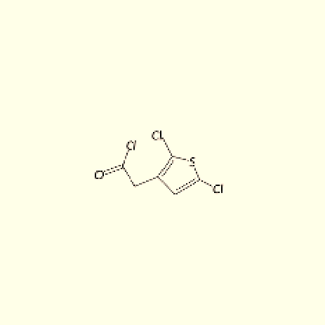 O=C(Cl)Cc1cc(Cl)sc1Cl